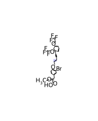 CCO[C@@H](Cc1ccc(OC/C=C/C#CC2(OCC(F)(F)F)C=CC=C(OCC(F)(F)F)C2)c(Br)c1)C(=O)O